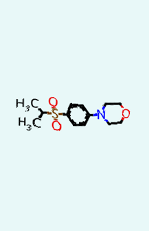 CC(C)S(=O)(=O)c1ccc(N2CCOCC2)cc1